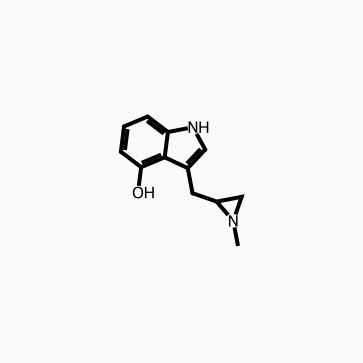 CN1CC1Cc1c[nH]c2cccc(O)c12